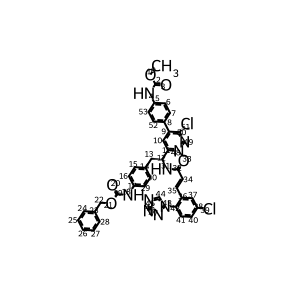 COC(=O)Nc1ccc(-c2cc([C@H](Cc3ccc(NC(=O)OCc4ccccc4)cc3)NC(=O)/C=C/c3cc(Cl)ccc3-n3cnnn3)nnc2Cl)cc1